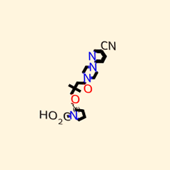 CC(C)(COC[C@@H]1CCCN1C(=O)O)CC(=O)N1CCN(c2ccc(C#N)cn2)CC1